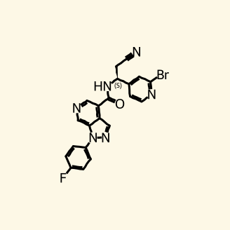 N#CC[C@H](NC(=O)c1cncc2c1cnn2-c1ccc(F)cc1)c1ccnc(Br)c1